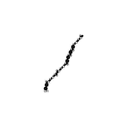 C=CC(=O)OCCOCCOCCOc1ccc(C(=O)Oc2ccc(C(=O)Oc3ccc(-c4ccc(C(=O)OCCOCCOCCOC(=O)CCC(=O)OCCOCCOCCOC(=O)c5ccc(-c6ccc(O)cc6)cc5)cc4)cc3)cc2)cc1